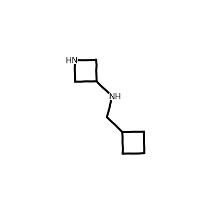 C1CC(CNC2CNC2)C1